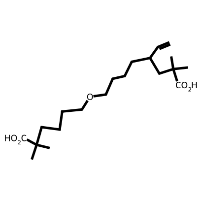 C=CC(CCCCOCCCCC(C)(C)C(=O)O)CC(C)(C)C(=O)O